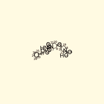 O=C(NS(=O)(=O)N1CCC(OC2CCN(C(=O)O)CC2)CC1)OCc1ccccc1